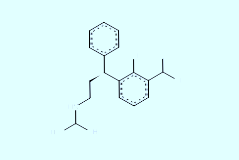 CC(C)NCC[C@@H](c1ccccc1)c1cccc(C(C)C)c1O